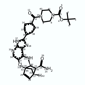 CC(C)(C)OC(=O)N1CCN(C(=O)c2ccc(-c3nc4c(N[C@H]5[C@@H](C(N)=O)[C@@H]6C=C[C@H]5C6)c(Cl)cnc4[nH]3)cc2)CC1